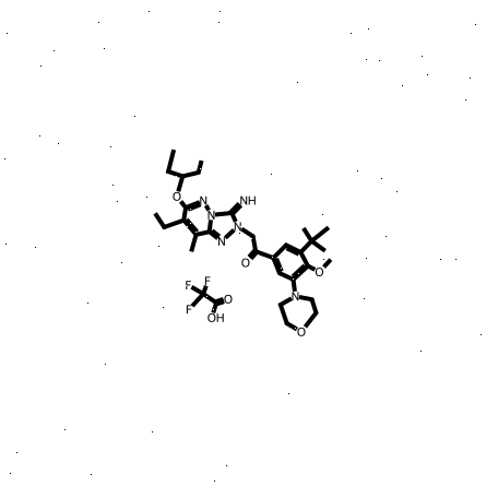 CCc1c(OC(CC)CC)nn2c(=N)n(CC(=O)c3cc(N4CCOCC4)c(OC)c(C(C)(C)C)c3)nc2c1C.O=C(O)C(F)(F)F